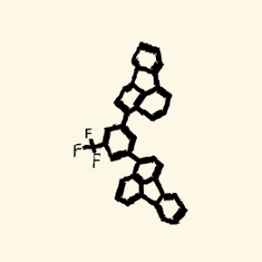 FC(F)(F)c1cc(-c2ccc3c4c(cccc24)-c2ccccc2-3)cc(-c2ccc3c4c(cccc24)-c2ccccc2-3)c1